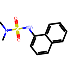 CN(C)S(=O)(=O)Nc1cccc2ccccc12